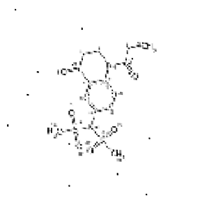 CCC(=O)N1CCC(=O)c2cc(N(S(C)(=O)=O)S(C)(=O)=O)ccc21